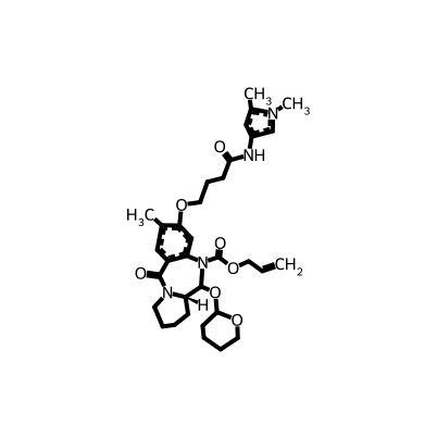 C=CCOC(=O)N1c2cc(OCCCC(=O)Nc3cc(C)n(C)c3)c(C)cc2C(=O)N2CCCC[C@H]2C1OC1CCCCO1